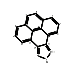 c1cc2ccc3cccc4c5nsnc5c(c1)c2c34